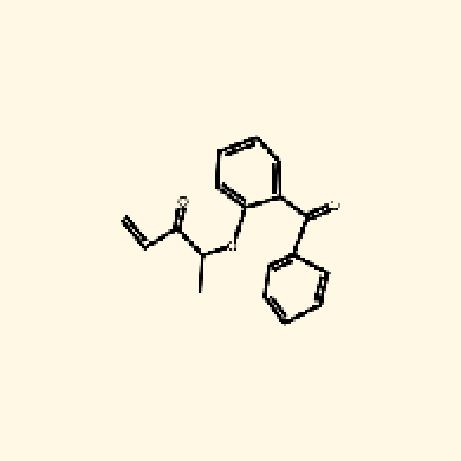 C=CC(=O)C(C)Oc1ccccc1C(=O)c1ccccc1